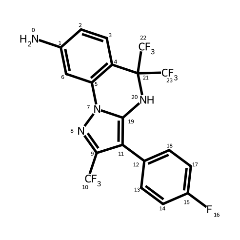 Nc1ccc2c(c1)-n1nc(C(F)(F)F)c(-c3ccc(F)cc3)c1NC2(C(F)(F)F)C(F)(F)F